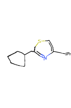 CC(C)c1csc(C2CCCC2)n1